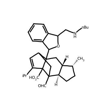 CCCCNCC1OC(C23C[C@@H]4[C@H](C)CC[C@H]4C4(C=O)CC2C=C(C(C)C)C34C(=O)O)c2ccccc21